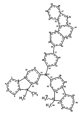 CC1(C)c2ccccc2-c2ccc(N(c3ccc(-c4ccc5c(ccc6sc7ccccc7c65)c4)cc3)c3ccc4c(c3)C(C)(C)c3ccccc3-4)cc21